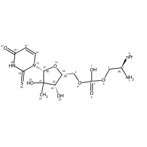 CCC[C@@H](N)COP(=O)(O)OC[C@H]1O[C@@H](n2ccc(=O)[nH]c2=S)C(C)(O)[C@H]1O